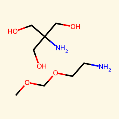 COCOCCN.NC(CO)(CO)CO